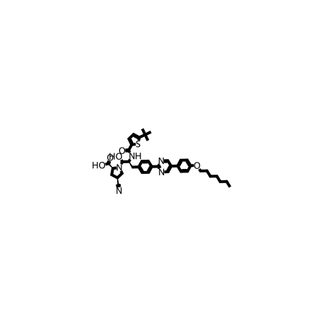 CCCCCCCOc1ccc(-c2cnc(-c3ccc(C[C@H](NC(=O)c4ccc(C(C)(C)C)s4)C(O)N4C[C@@H](C#N)C[C@H]4C(=O)O)cc3)nc2)cc1